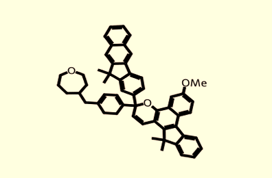 COc1ccc2c3c(c4c(c2c1)OC(C1=CC=C(CC2CCCOCC2)CC1)(c1ccc2c(c1)C(C)(C)c1cc5ccccc5cc1-2)C=C4)C(C)(C)c1ccccc1-3